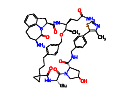 Cc1ncsc1-c1ccc(CNC(=O)[C@@H]2C[C@@H](O)CN2C(=O)[C@@H](NC(=O)C2(CCCc3ccc(CO[C@H](C)[C@H](CCC(N)=O)NC(=O)[C@@H]4Cc5cccc6c5N4C(=O)[C@@H](N)CC6)cc3)CC2)C(C)(C)C)cc1